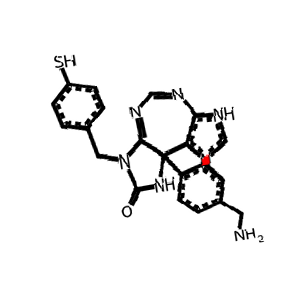 NCc1ccc(C23NC(=O)N(Cc4ccc(S)cc4)C2=NC=Nc2[nH]cnc23)cc1